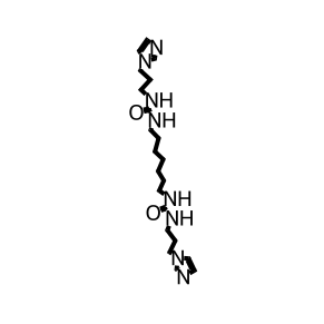 O=C(NCCCCCCCNC(=O)NCCCn1ccnc1)NCCCn1ccnc1